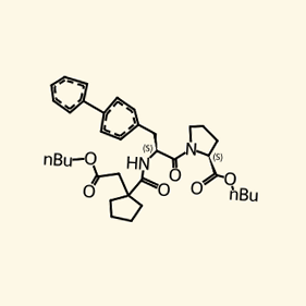 CCCCOC(=O)CC1(C(=O)N[C@@H](Cc2ccc(-c3ccccc3)cc2)C(=O)N2CCC[C@H]2C(=O)OCCCC)CCCC1